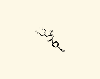 C#Cc1ccc(C(=O)O[C@H](C)CC(CC)CC)cc1